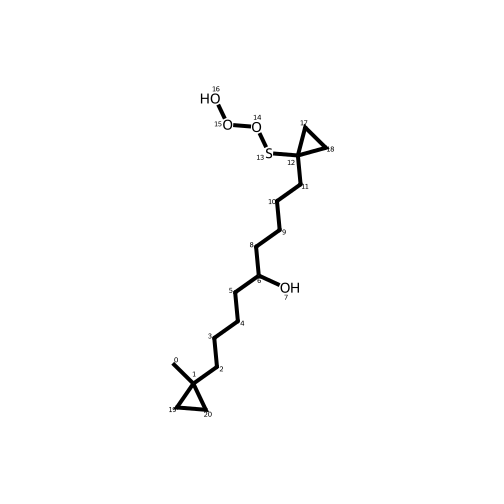 CC1(CCCCC(O)CCCCC2(SOOO)CC2)CC1